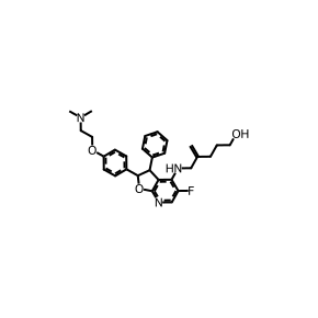 C=C(CCCO)CNc1c(F)cnc2c1C(c1ccccc1)C(c1ccc(OCCN(C)C)cc1)O2